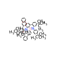 CC(C)(C)c1ccc(N2B3c4ccc5c(c4N(c4ccc(C(C)(C)C)cc4-c4ccccc4)c4cc(-c6ccccc6)cc(c43)-c3ccc(C(C)(C)C)cc32)C(C)(C)c2ccccc2-5)cc1